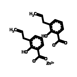 C=CCc1cccc(C(=O)[O-])c1O.C=CCc1cccc(C(=O)[O-])c1O.[Zn+2]